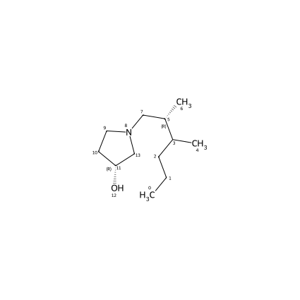 CCCC(C)[C@@H](C)CN1CC[C@@H](O)C1